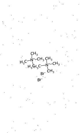 C[N+](C)(C)C.C[N+](C)(C)C.[Br-].[Br-]